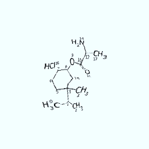 CC(C)C1(C)CCCC(OC(=O)[C@@H](C)N)C1.Cl